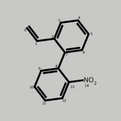 C=Cc1ccccc1-c1ccccc1[N+](=O)[O-]